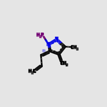 C=C/C=c1\c(=C)c(C)nn1P